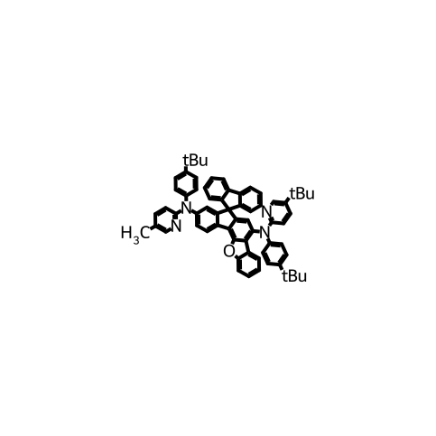 Cc1ccc(N(c2ccc(C(C)(C)C)cc2)c2ccc3c(c2)C2(c4ccccc4-c4ccccc42)c2cc(N(c4ccc(C(C)(C)C)cc4)c4ccc(C(C)(C)C)cn4)c4c(oc5ccccc54)c2-3)nc1